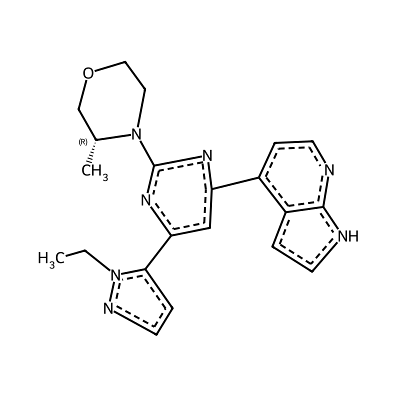 CCn1nccc1-c1cc(-c2ccnc3[nH]ccc23)nc(N2CCOC[C@H]2C)n1